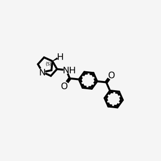 O=C(NC1CN2CC[C@H]1C2)c1ccc(C(=O)c2ccccc2)cc1